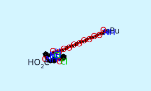 CCCCNC(=O)CCOCCOCCOCCOCCOCCOCCOCCOCCOCCC(=O)NCCC1(C(=O)N[C@@H](Cc2ccc(NC(=O)c3c(Cl)cccc3Cl)cc2)C(=O)O)CCCC1